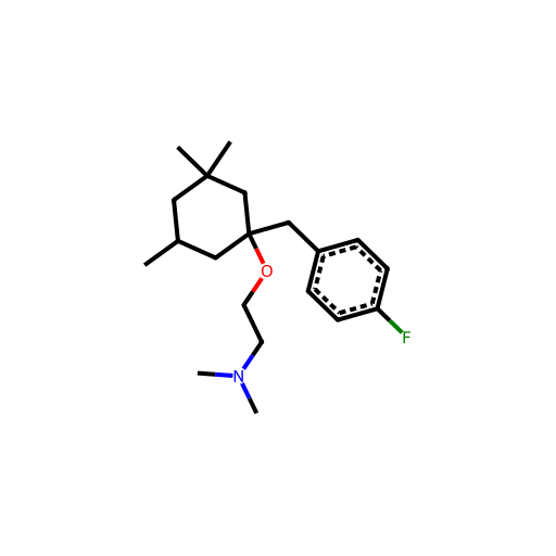 CC1CC(C)(C)CC(Cc2ccc(F)cc2)(OCCN(C)C)C1